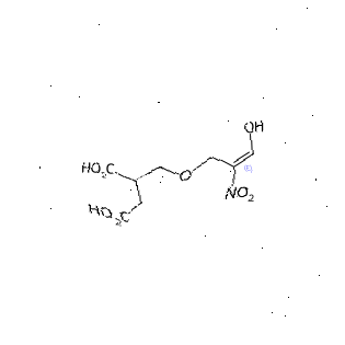 O=C(O)CC(COC/C(=C\O)[N+](=O)[O-])C(=O)O